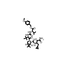 COc1ccc(COC(=O)[C@@H](NC(=O)N[C@H](C(=O)N2C[C@H]3[C@@H]([C@H]2C(=O)NC(CC2CC2)C(=O)C(N)=O)C3(C)C)C(C)(C)C)C(C)C)cc1